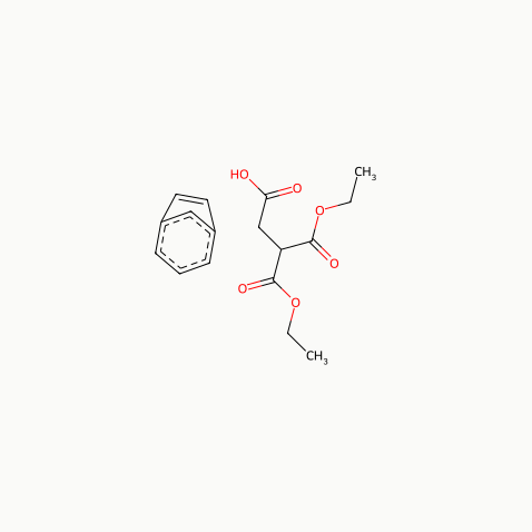 C1=Cc2cccc1c2.CCOC(=O)C(CC(=O)O)C(=O)OCC